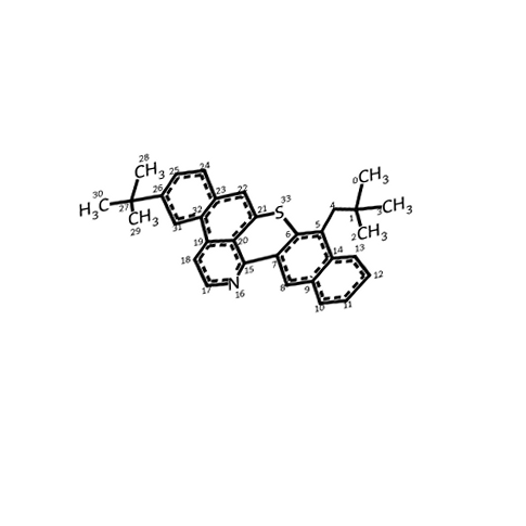 CC(C)(C)Cc1c2c(cc3ccccc13)-c1nccc3c1c(cc1ccc(C(C)(C)C)cc13)S2